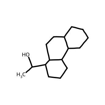 CC(O)C1CCCC2C3CCCCC3CCC12